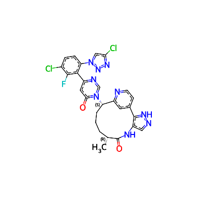 C[C@@H]1CCC[C@H](n2cnc(-c3c(-n4cc(Cl)nn4)ccc(Cl)c3F)cc2=O)c2cc(ccn2)-c2[nH]ncc2NC1=O